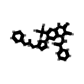 O=C(Nn1c(=O)c(=O)[nH]c2cc(C(F)(F)F)c(-n3ccc(CNCc4ccccc4)c3)cc21)c1ccccc1